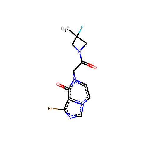 CC1(F)CN(C(=O)Cn2ccn3cnc(Br)c3c2=O)C1